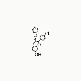 Cc1ccc(CS/C(=C/c2ccc(O)cc2)C(=O)c2ccc(Cl)cc2)cc1